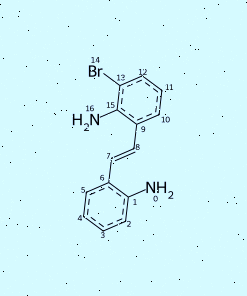 Nc1ccccc1C=Cc1cccc(Br)c1N